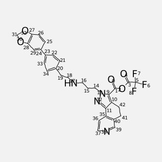 O=C(OC(=O)C(F)(F)F)c1c2c(nn1CCCNCCc1ccc(-c3ccc4c(c3)OCO4)cc1)-c1ccncc1CC2